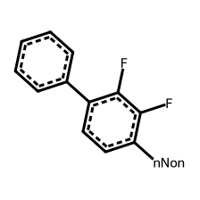 CCCCCCCCCc1ccc(-c2ccccc2)c(F)c1F